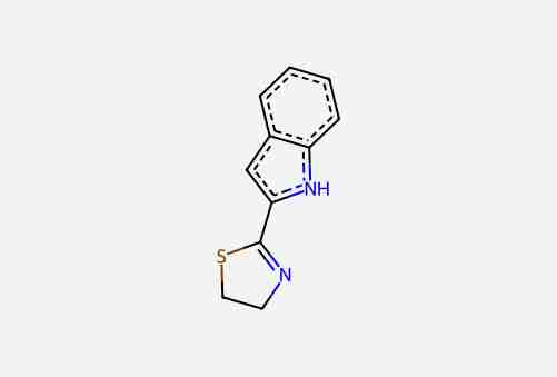 c1ccc2[nH]c(C3=NCCS3)cc2c1